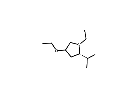 CCOC1C[C@@H](C(C)C)N(CC)C1